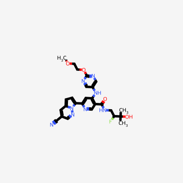 COCCOc1ncc(Nc2cc(-c3ccc4cc(C#N)cnn34)ncc2C(=O)NCC(F)C(C)(C)O)cn1